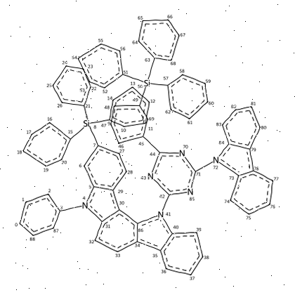 c1ccc(-n2c3cc([Si](c4ccccc4)(c4ccccc4)c4ccccc4)ccc3c3c2ccc2c4ccccc4n(-c4nc(-c5cccc([Si](c6ccccc6)(c6ccccc6)c6ccccc6)c5)nc(-n5c6ccccc6c6ccccc65)n4)c23)cc1